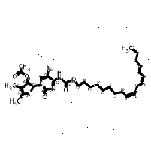 CCCCC/C=C\C/C=C\CCCCCCCCOC(=O)Nc1nc(=O)n(C2OC(C)C(C)C2OC(C)=O)cc1F